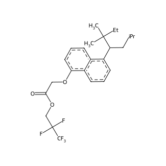 CCC(C)(C)C(CC(C)C)c1cccc2c(OCC(=O)OCC(F)(F)C(F)(F)F)cccc12